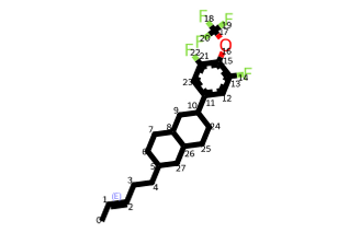 C/C=C/CCC1CCC2CC(c3cc(F)c(OC(F)(F)F)c(F)c3)CCC2C1